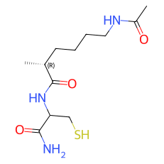 CC(=O)NCCCC[C@@H](C)C(=O)NC(CS)C(N)=O